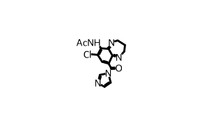 CC(=O)Nc1c(Cl)cc(C(=O)n2ccnc2)c2c1=NCCCN=2